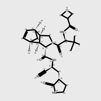 CC(C)(C)[C@H](NC(=O)C1COC1)C(=O)N1C[C@H]2[C@@H]([C@H]1C(=O)N[C@H](C#N)C[C@@H]1CCNC1=O)[C@H]1C=C[C@@H]2C1